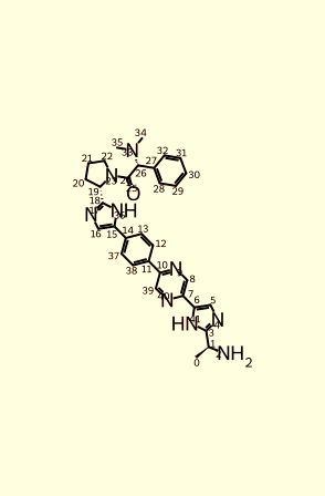 C[C@H](N)c1ncc(-c2cnc(-c3ccc(-c4cnc([C@@H]5CCCN5C(=O)[C@@H](c5ccccc5)N(C)C)[nH]4)cc3)cn2)[nH]1